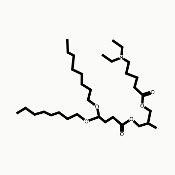 [CH2]C(COC(=O)CCCCN(CC)CC)COC(=O)CCC(OCCCCCCCC)OCCCCCCCC